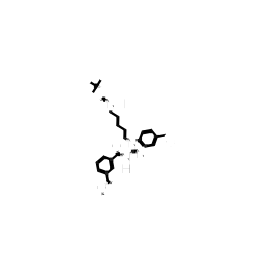 COC(=O)c1cccc(C(=O)Nc2nc3cc(CO)ccc3n2CCCCCNC(=O)OC(C)(C)C)c1